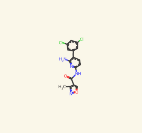 Cc1nocc1C(=O)Nc1ccc(-c2cc(Cl)cc(Cl)c2)c(N)n1